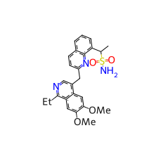 CCc1ncc(Cc2ccc3cccc(C(C)S(N)(=O)=O)c3n2)c2cc(OC)c(OC)cc12